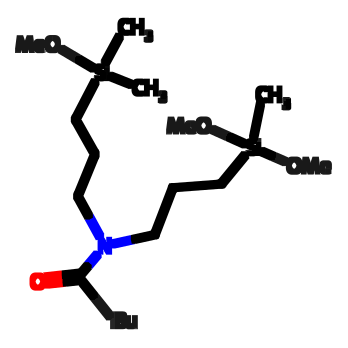 CCC(C)C(=O)N(CCC[Si](C)(C)OC)CCC[Si](C)(OC)OC